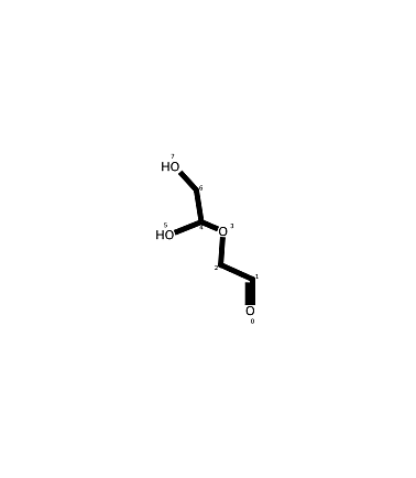 O=CCOC(O)CO